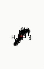 CC1=C2C[C@H]3[C@@H](CC=C4C[C@@H](OC(=O)OCc5ccccc5)CC[C@@]43C)[C@@H]2CC[C@@]2(C1)O[C@@H]1C[C@H](C)CN(C(=O)OCc3ccccc3)C1[C@H]2C